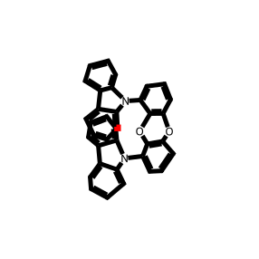 c1cc2c(c(-n3c4ccccc4c4ccccc43)c1)Oc1c(cccc1-n1c3ccccc3c3ccccc31)O2